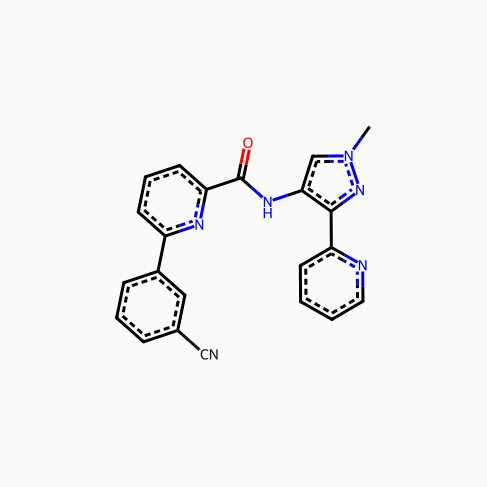 Cn1cc(NC(=O)c2cccc(-c3cccc(C#N)c3)n2)c(-c2ccccn2)n1